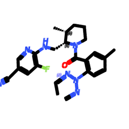 C=NN(/N=C\C)c1ccc(C)cc1C(=O)N1CCC[C@@H](C)[C@H]1CNc1ncc(C#N)cc1F